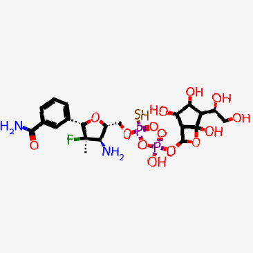 C[C@@]1(F)[C@H](N)[C@@H](COP(=O)(S)OP(=O)(O)OC2OC3(O)C2C(O)C(O)C3[C@@H](O)CO)O[C@H]1c1cccc(C(N)=O)c1